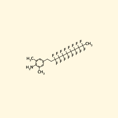 Cc1cc(CCC(F)(F)C(F)(F)C(F)(F)C(F)(F)C(F)(F)C(F)(F)C(F)(F)C(C)(F)F)cc(C)c1N